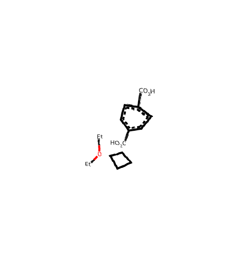 C1CCC1.CCOCC.O=C(O)c1ccc(C(=O)O)cc1